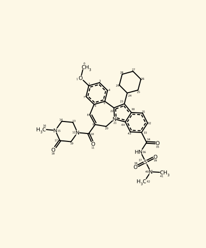 COc1ccc2c(c1)C=C(C(=O)N1CCN(C)C(=O)C1)Cn1c-2c(C2CCCCC2)c2ccc(C(=O)NS(=O)(=O)N(C)C)cc21